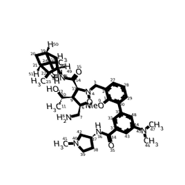 COc1c(CN2O[C@@H](CN)[C@@H]([C@H](C)O)[C@H]2C(=O)N[C@H]2C[C@H]3C[C@@H]([C@@H]2C)C3(C)C)cccc1-c1cc(C(=O)N[C@@H]2CCN(C)C2)cc(N(C)C)c1